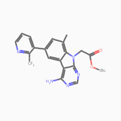 Cc1cc(-c2cccnc2C(F)(F)F)cc2c3c(N)ncnc3n(CC(=O)OC(C)(C)C)c12